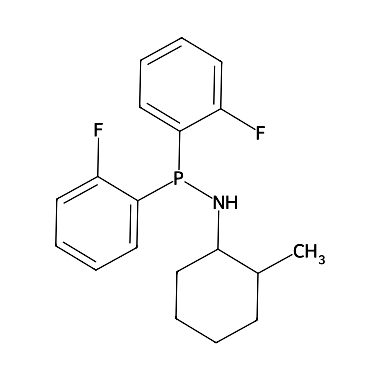 CC1CCCCC1NP(c1ccccc1F)c1ccccc1F